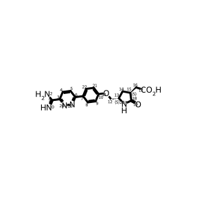 N=C(N)c1ccc(-c2ccc(OC[C@@H]3C[C@@H](CC(=O)O)C(=O)N3)cc2)nn1